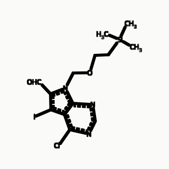 C[Si](C)(C)CCOCn1c(C=O)c(I)c2c(Cl)ncnc21